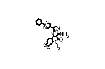 CC(=O)c1c(C2CCS(=O)(=O)CC2)nc2c(-c3cnc(-c4ccccc4)nc3)cnn2c1N